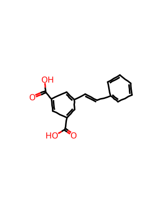 O=C(O)c1cc(C=Cc2ccccc2)cc(C(=O)O)c1